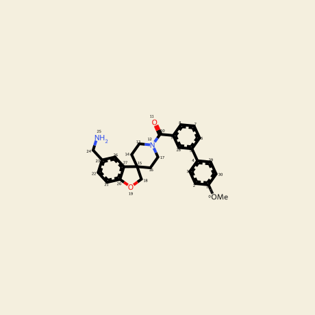 COc1ccc(-c2cccc(C(=O)N3CCC4(CC3)COc3ccc(CN)cc34)c2)cc1